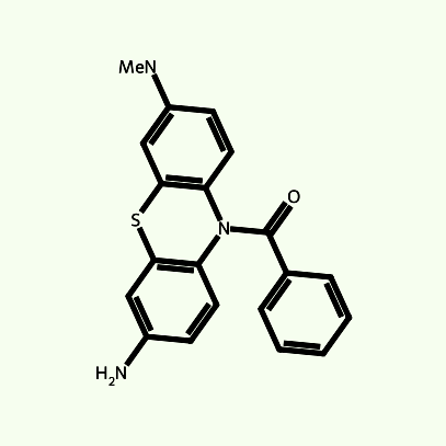 CNc1ccc2c(c1)Sc1cc(N)ccc1N2C(=O)c1ccccc1